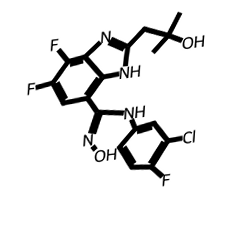 CC(C)(O)Cc1nc2c(F)c(F)cc(/C(=N/O)Nc3ccc(F)c(Cl)c3)c2[nH]1